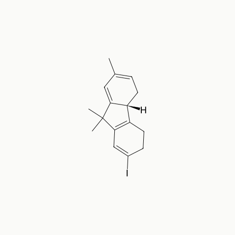 CC1=CC[C@H]2C(=C1)C(C)(C)C1=C2CCC(I)=C1